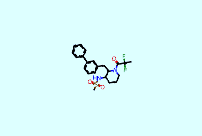 CC(F)(F)C(=O)N1CCCC(NS(C)(=O)=O)C1Cc1cccc(-c2ccccc2)c1